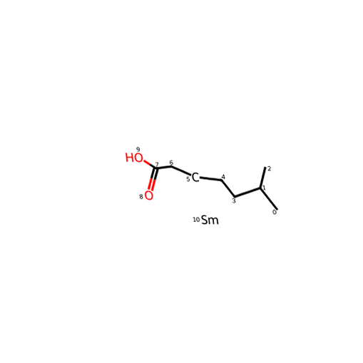 CC(C)CCCCC(=O)O.[Sm]